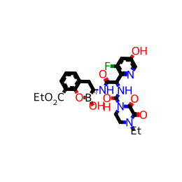 CCOC(=O)c1cccc2c1OB(O)[C@@H](NC(=O)C(NC(O)N1CCN(CC)C(=O)C1=O)c1ncc(O)cc1F)C2